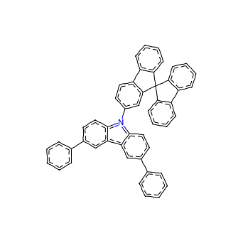 c1ccc(-c2ccc3c(c2)c2cc(-c4ccccc4)ccc2n3-c2ccc3c(c2)C2(c4ccccc4-c4ccccc42)c2ccccc2-3)cc1